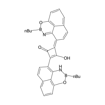 CCCCB1N=c2/c(=C3\C(=O)C(c4ccc5cccc6c5c4NB(CCCC)O6)=C3O)ccc3cccc(c23)O1